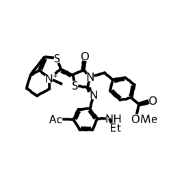 CCNc1ccc(C(C)=O)cc1N=C1SC(=C2SC3=C4C3CCC[N+]24C)C(=O)N1Cc1ccc(C(=O)OC)cc1